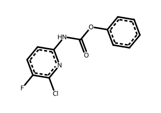 O=C(Nc1ccc(F)c(Cl)n1)Oc1ccccc1